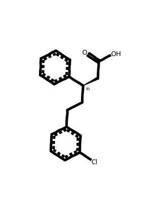 O=C(O)C[C@@H](CCc1cccc(Cl)c1)c1ccccc1